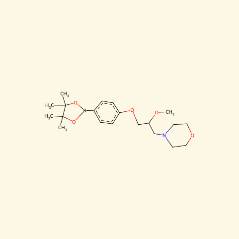 COC(COc1ccc(B2OC(C)(C)C(C)(C)O2)cc1)CN1CCOCC1